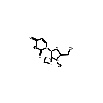 O=c1ccn(C2OC(CO)[C@@H](O)[C@]23CCO3)c(=O)[nH]1